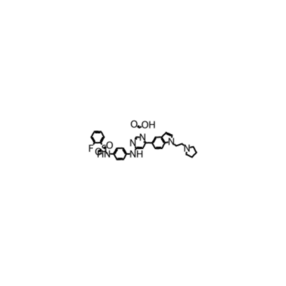 O=CO.O=S(=O)(Nc1ccc(Nc2cc(-c3ccc4c(ccn4CCN4CCCC4)c3)ncn2)cc1)c1ccccc1F